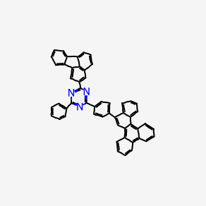 c1ccc(-c2nc(-c3ccc(-c4cc5c6ccccc6c6ccccc6c5c5ccccc45)cc3)nc(-c3cc4c5c(cccc5c3)-c3ccccc3-4)n2)cc1